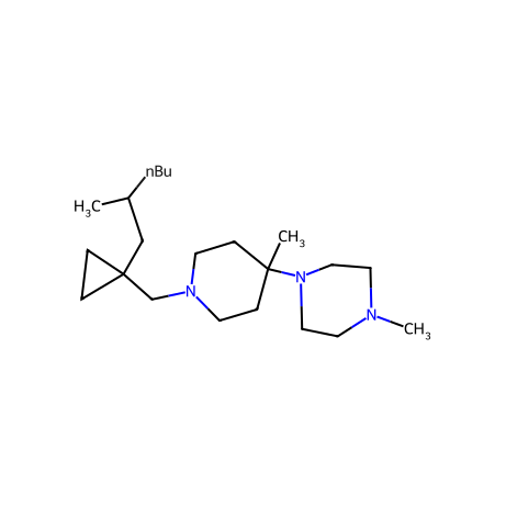 CCCCC(C)CC1(CN2CCC(C)(N3CCN(C)CC3)CC2)CC1